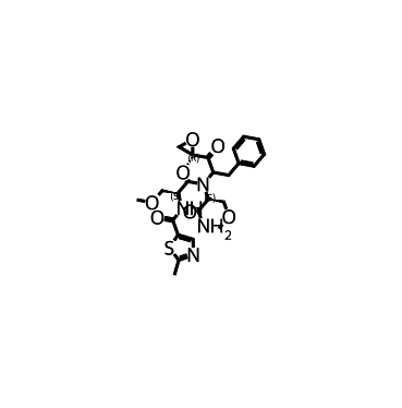 COC[C@H](NC(=O)c1cnc(C)s1)C(=O)N(C(Cc1ccccc1)C(=O)[C@@]1(C)CO1)[C@@H](COC)C(N)=O